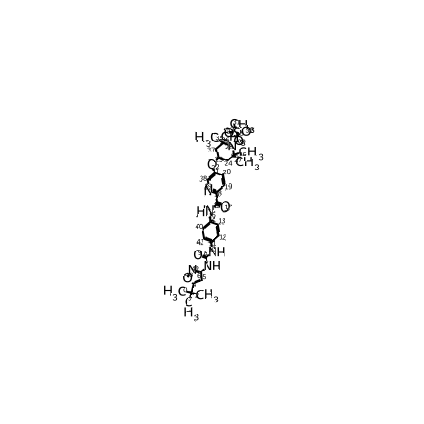 CC(C)(C)c1cc(NC(=O)Nc2ccc(NC(=O)c3ccc(OC4CC(C)(C)N(OS(C)(=O)=O)C(C)(C)C4)cn3)cc2)no1